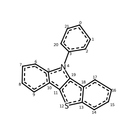 c1ccc(-n2c3ccccc3c3sc4ccccc4c32)cc1